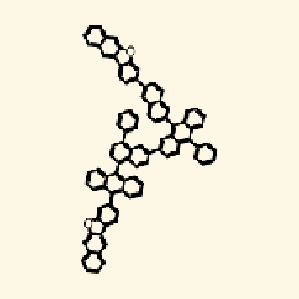 c1ccc(-c2ccc(-c3c4ccccc4c(-c4ccc5c(c4)oc4cc6ccccc6cc45)c4ccccc34)c3ccc(-c4ccc5c(-c6ccccc6)c6ccccc6c(-c6ccc7cc(-c8ccc9c(c8)oc8cc%10ccccc%10cc89)ccc7c6)c5c4)cc23)cc1